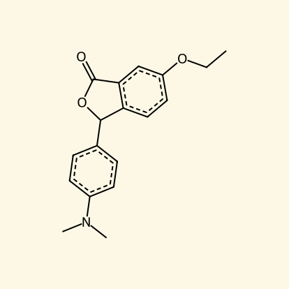 CCOc1ccc2c(c1)C(=O)OC2c1ccc(N(C)C)cc1